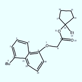 CCC(C)c1cccc2c(OCC(=O)OC3(CC)CCCC3)cccc12